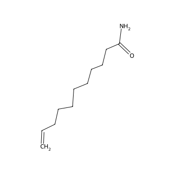 C=CCCCCCCCCC(N)=O